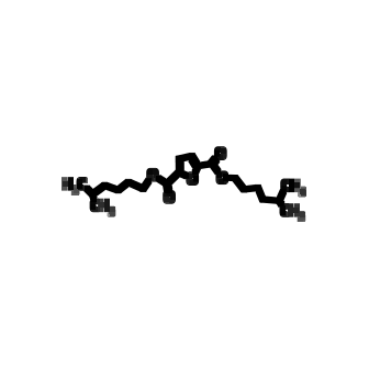 CC(C)CCCCOC(=O)c1ccc(C(=O)OCCCCC(C)C)o1